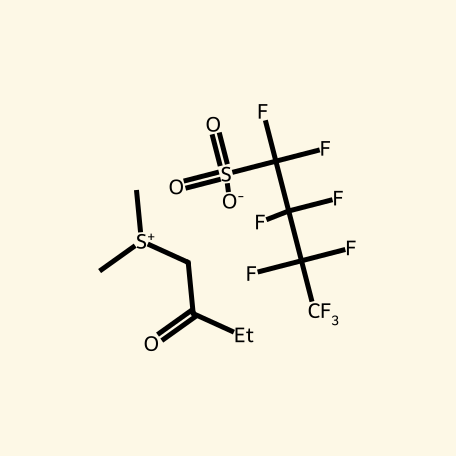 CCC(=O)C[S+](C)C.O=S(=O)([O-])C(F)(F)C(F)(F)C(F)(F)C(F)(F)F